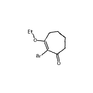 CCOC1=C(Br)C(=O)CCCC1